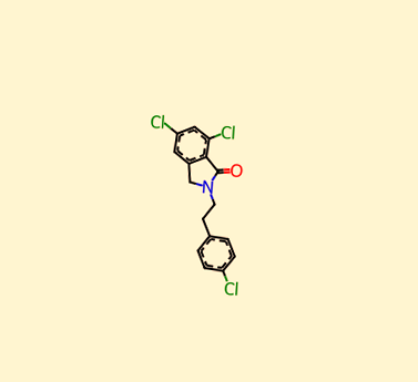 O=C1c2c(Cl)cc(Cl)cc2CN1CCc1ccc(Cl)cc1